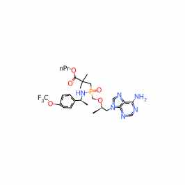 CCCOC(=O)C(C)(C)CP(=O)(CO[C@H](C)Cn1cnc2c(N)ncnc21)N[C@@H](C)c1ccc(OC(F)(F)F)cc1